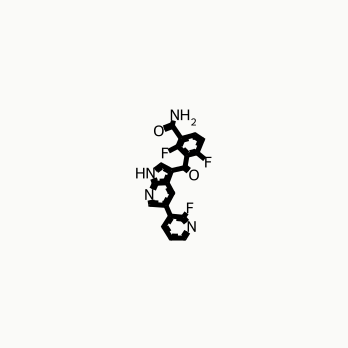 NC(=O)c1ccc(F)c(C(=O)c2c[nH]c3ncc(-c4cccnc4F)cc23)c1F